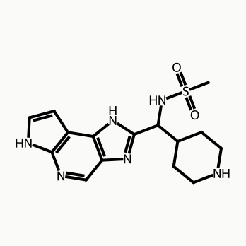 CS(=O)(=O)NC(c1nc2cnc3[nH]ccc3c2[nH]1)C1CCNCC1